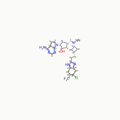 CC(C)N(C[C@@H]1C[C@@H](O)[C@H](n2ccc3c(N)ncnc32)C1)[C@H]1C[C@@H](CCc2nc3cc(Cl)c(C(F)(F)F)cc3[nH]2)C1